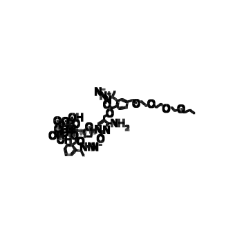 CCCOCCOCCOCCOCc1ccc(C(=O)OCc2cn([C@H]3CC(OC(=O)c4ccccc4C(C)N=[N+]=[N-])[C@@H](COP(=O)(O)OP(=O)(O)OP(=O)(O)O)O3)c(=O)nc2N)c(C(C)N=[N+]=[N-])c1